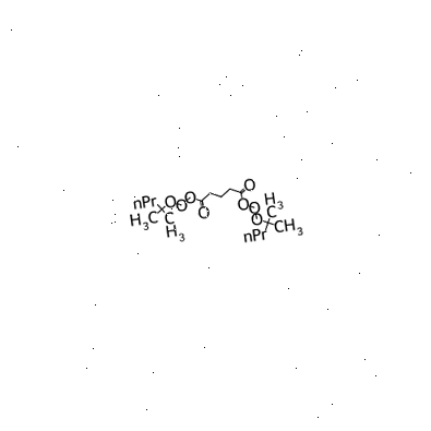 CCCC(C)(C)OOOC(=O)CCCC(=O)OOOC(C)(C)CCC